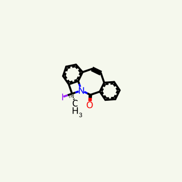 C[C@]1(I)c2cccc3c2N1C(=O)c1ccccc1C#C3